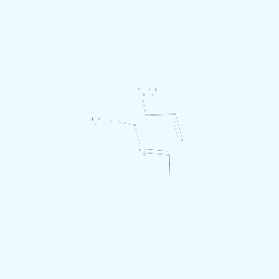 CNc1ccc(C)nc1OC